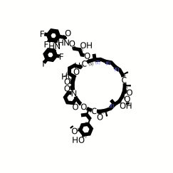 CO[C@@H]1C[C@@H](CC(C)[C@@H]2CC(=O)[C@H](C)/C=C(\C)[C@@H](O)[C@@H](OC)C(=O)[C@H](C)C[C@H](C)/C=C/C=C/C=C(/C)[C@@H](OC[C@@H](O)CONC(=O)c3ccc(F)c(F)c3Nc3ccc(I)cc3F)C[C@@H]3CC[C@@H](C)[C@@](O)(O3)C(=O)C(=O)N3CCCCC3C(=O)O2)CC[C@H]1O